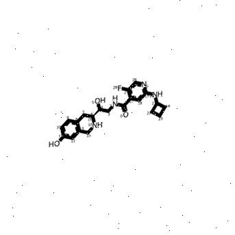 O=C(NCC(O)[C@@H]1Cc2ccc(O)cc2CN1)c1cc(NC2CCC2)ncc1F